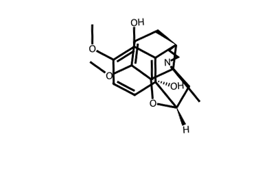 COC1=CC[C@]23CCN(C)[C@@]24C[C@H](O[C@@]14O)c1ccc(OC)c(O)c13